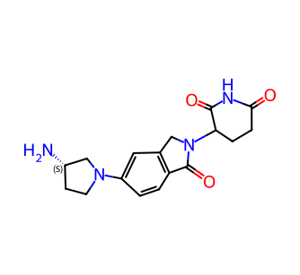 N[C@H]1CCN(c2ccc3c(c2)CN(C2CCC(=O)NC2=O)C3=O)C1